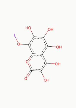 O=c1oc2c(OI)c(O)c(O)c(O)c2c(O)c1O